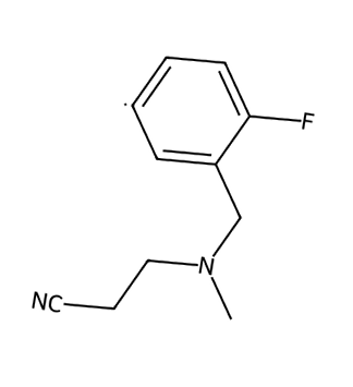 CN(CCC#N)Cc1c[c]ccc1F